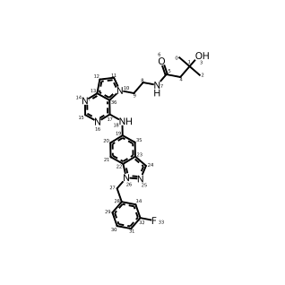 CC(C)(O)CC(=O)NCCn1ccc2ncnc(Nc3ccc4c(cnn4Cc4cccc(F)c4)c3)c21